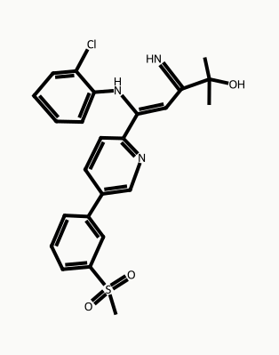 CC(C)(O)C(=N)/C=C(\Nc1ccccc1Cl)c1ccc(-c2cccc(S(C)(=O)=O)c2)cn1